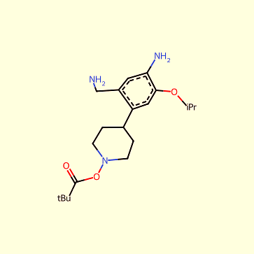 CC(C)Oc1cc(C2CCN(OC(=O)C(C)(C)C)CC2)c(CN)cc1N